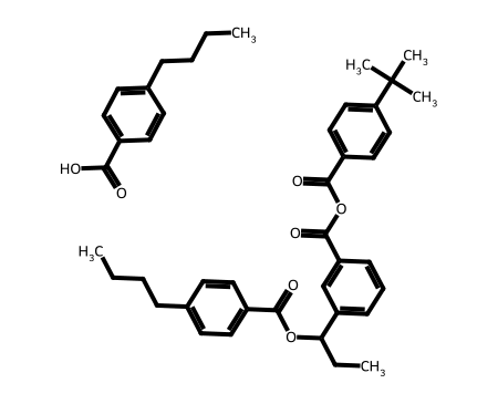 CCCCc1ccc(C(=O)O)cc1.CCCCc1ccc(C(=O)OC(CC)c2cccc(C(=O)OC(=O)c3ccc(C(C)(C)C)cc3)c2)cc1